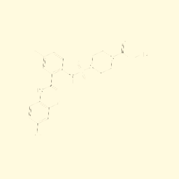 CC(C)(C)OC(=O)N1CCN(S(=O)(=O)Nc2ccc(Cl)cc2C(=O)Nc2ccc(C(F)(F)F)cc2Cl)CC1